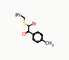 Cc1ccc(C(=O)C(Br)SCC(C)C)cc1